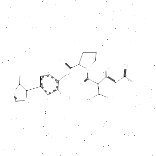 CC(=N)/C=C(\O)C(C(=O)N1CCCC1C(=O)Nc1ccc(C2SC=NC2C)cc1C)C(C)C